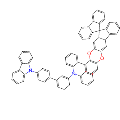 C1=C2Oc3cccc(-c4ccccc4N(C4=CC(c5ccc(-n6c7ccccc7c7ccccc76)cc5)=CCC4)c4ccccc4)c3OC2=CC2C1c1ccccc1C21c2ccccc2-c2ccccc21